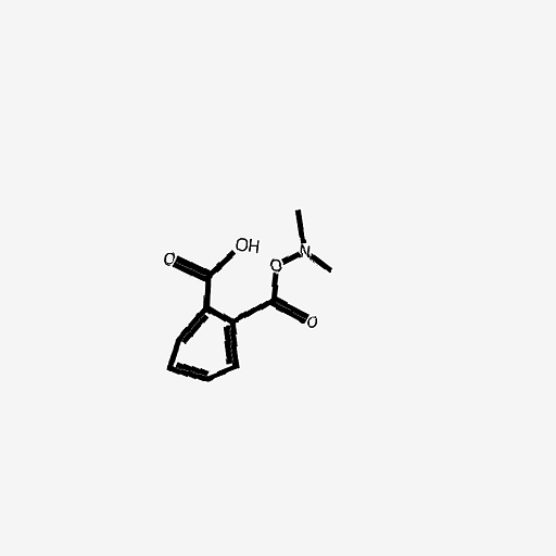 CN(C)OC(=O)c1ccccc1C(=O)O